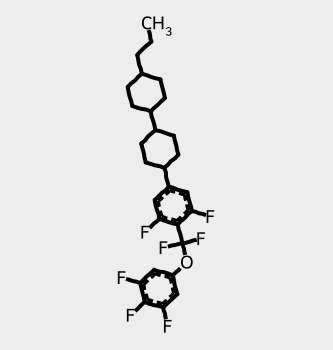 CCCC1CCC(C2CCC(c3cc(F)c(C(F)(F)Oc4cc(F)c(F)c(F)c4)c(F)c3)CC2)CC1